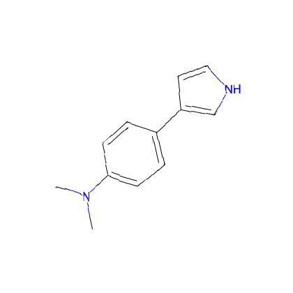 CN(C)c1ccc(-c2cc[nH]c2)cc1